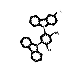 Cc1ccc2c(c1)c1ccccc1n2-c1cc(-n2c3ccccc3c3ccccc32)c(N)cc1N